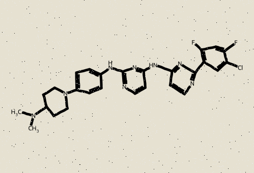 CN(C)C1CCN(c2ccc(Nc3nccc(Nc4ccnc(-c5cc(Cl)c(F)cc5F)n4)n3)cc2)CC1